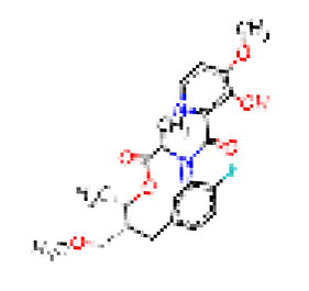 COC[C@@H](Cc1ccc(F)cc1)[C@H](C)OC(=O)[C@H](C)NC(=O)c1nccc(OC)c1O